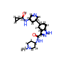 CC(C)N1CCC(NC(=O)c2n[nH]c3ccc(-c4cncc(NC(=O)C5CC5)c4)cc23)CC1